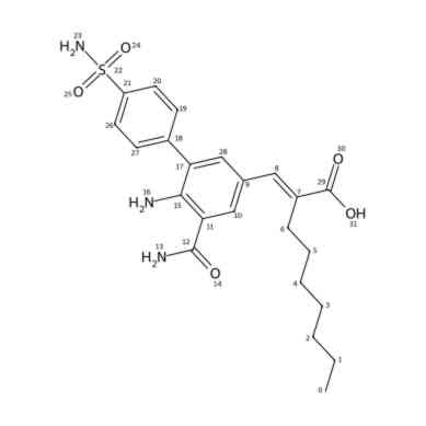 CCCCCCC/C(=C\c1cc(C(N)=O)c(N)c(-c2ccc(S(N)(=O)=O)cc2)c1)C(=O)O